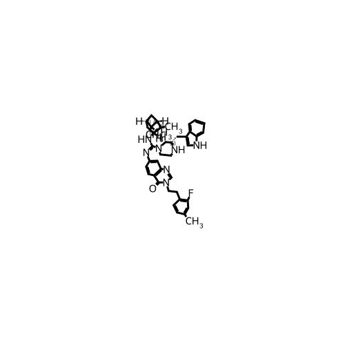 Cc1ccc(CCn2cnc3cc(N=C(N[C@H]4C[C@H]5C[C@H]([C@H]4C)C5(C)C)N4CCN[C@@H](Cc5c[nH]c6ccccc56)C4)ccc3c2=O)c(F)c1